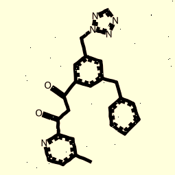 Cc1ccnc(C(=O)CC(=O)c2cc(Cc3ccccc3)cc(Cn3ncnn3)c2)c1